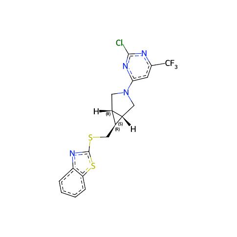 FC(F)(F)c1cc(N2C[C@@H]3[C@@H](CSc4nc5ccccc5s4)[C@@H]3C2)nc(Cl)n1